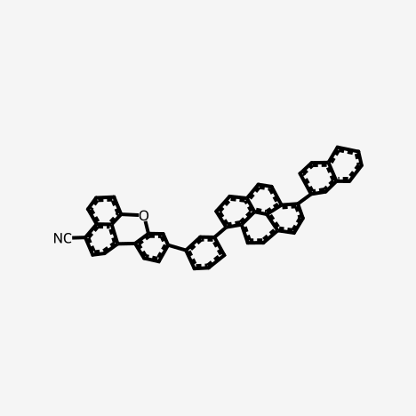 N#Cc1ccc2c3c(cccc13)Oc1cc(-c3cccc(-c4ccc5ccc6c(-c7ccc8ccccc8c7)ccc7ccc4c5c76)c3)ccc1-2